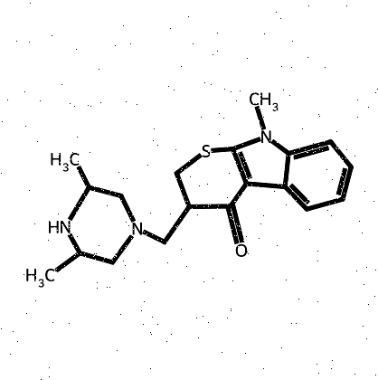 CC1CN(CC2CSc3c(c4ccccc4n3C)C2=O)CC(C)N1